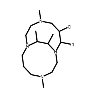 CC1C(C)N2CCN(C)CCCN1CCN(C)CC(Cl)C2Cl